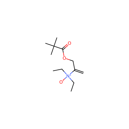 C=C(COC(=O)C(C)(C)C)[N+]([O-])(CC)CC